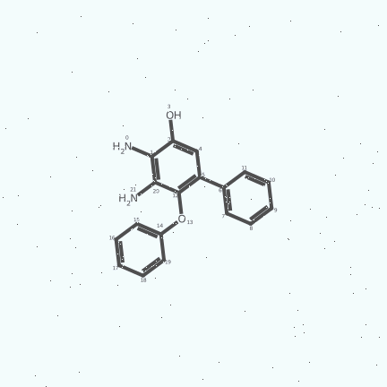 Nc1c(O)cc(-c2ccccc2)c(Oc2ccccc2)c1N